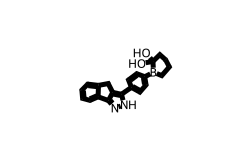 OC1(O)CCCCB1c1ccc(-c2[nH]nc3c2Cc2ccccc2-3)cc1